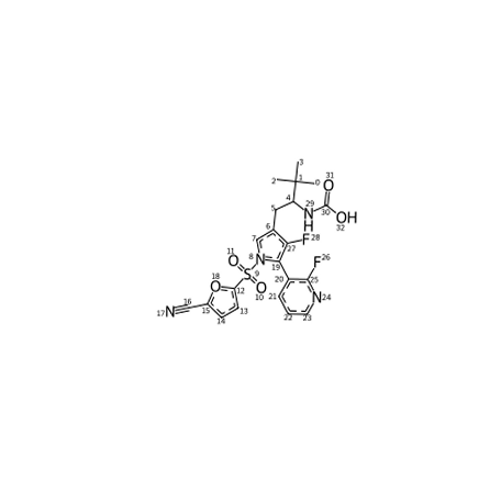 CC(C)(C)C(Cc1cn(S(=O)(=O)c2ccc(C#N)o2)c(-c2cccnc2F)c1F)NC(=O)O